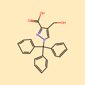 O=C(O)c1nn(C(c2ccccc2)(c2ccccc2)c2ccccc2)cc1CO